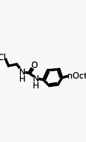 CCCCCCCCc1ccc(NC(=O)NCCCl)cc1